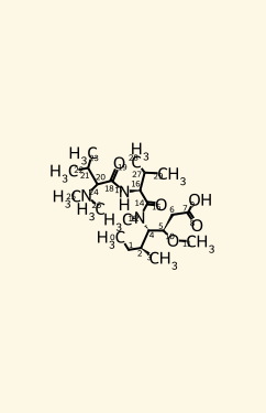 CC[C@H](C)[C@@H]([C@@H](CC(=O)O)OC)N(C)C(=O)[C@@H](NC(=O)C(C(C)C)N(C)C)C(C)C